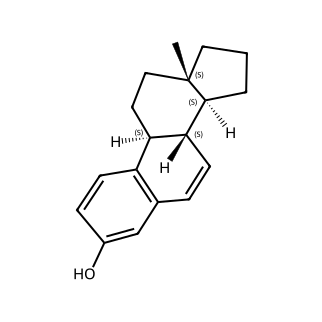 C[C@@]12CCC[C@H]1[C@@H]1C=Cc3cc(O)ccc3[C@H]1CC2